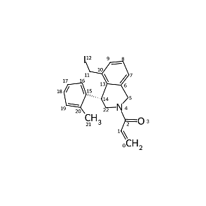 C=CC(=O)N1Cc2cccc(CI)c2[C@@H](c2ccccc2C)C1